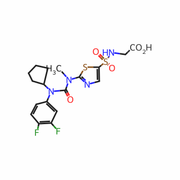 CN(C(=O)N(c1ccc(F)c(F)c1)C1CCCC1)c1ncc(S(=O)(=O)NCC(=O)O)s1